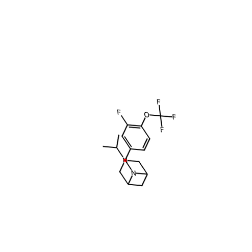 CC(C)N1CC2CC(C1)N2Cc1ccc(OC(F)(F)F)c(F)c1